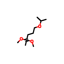 CO[Si](C)(CCCOC(C)C)OC